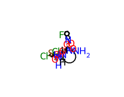 N[C@H]1CCCCCCC[C@@H]2C[C@@]2(C(=O)NS(=O)(=O)c2cc(Cl)sc2Cl)NC(=O)[C@@H]2C[C@@H](OC(=O)N3Cc4cccc(F)c4C3)CN2C1=O